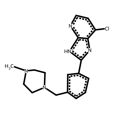 CN1CCN(Cc2cccc(-c3nc4c(Cl)ccnc4[nH]3)c2)CC1